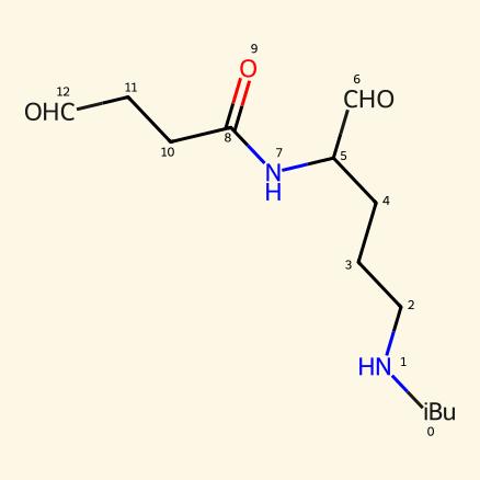 CCC(C)NCCCC(C=O)NC(=O)CCC=O